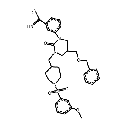 COc1cccc(S(=O)(=O)N2CCC(CN3CC(COCc4ccccc4)CN(c4cccc(C(=N)N)c4)C3=O)CC2)c1